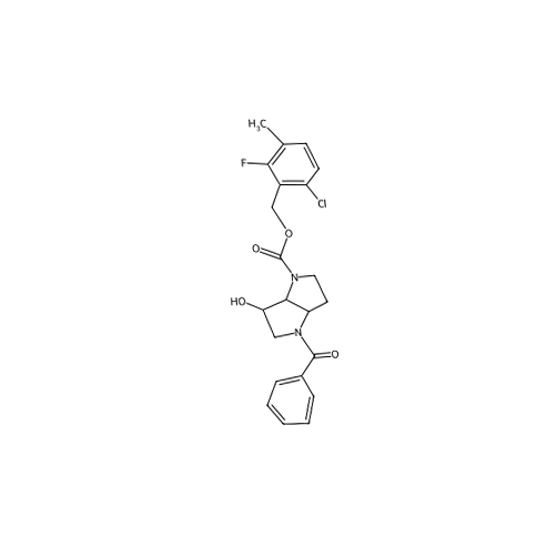 Cc1ccc(Cl)c(COC(=O)N2CCC3C2C(O)CN3C(=O)c2ccccc2)c1F